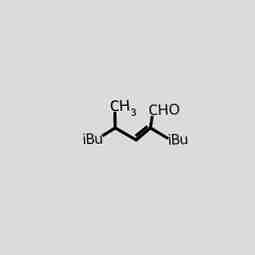 CCC(C)/C(C=O)=C/C(C)C(C)CC